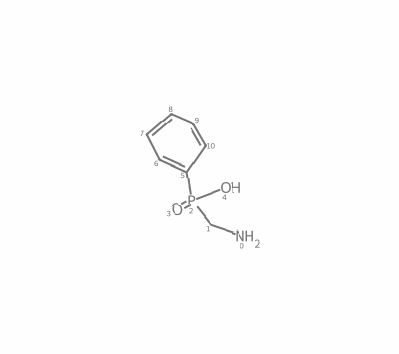 NCP(=O)(O)c1ccccc1